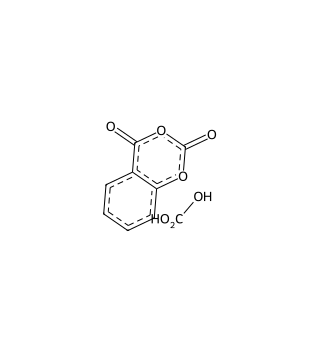 O=C(O)O.O=c1oc(=O)c2ccccc2o1